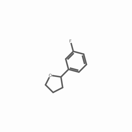 Fc1cccc([C]2CCCO2)c1